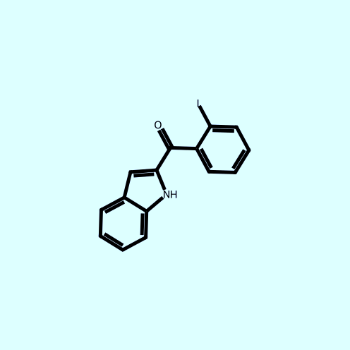 O=C(c1cc2ccccc2[nH]1)c1ccccc1I